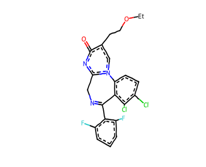 CCOCCc1cn2c(nc1=O)CN=C(c1c(F)cccc1F)c1c-2ccc(Cl)c1Cl